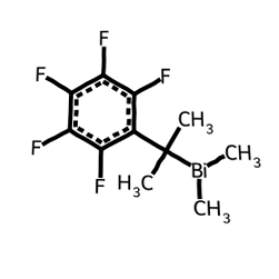 [CH3][Bi]([CH3])[C](C)(C)c1c(F)c(F)c(F)c(F)c1F